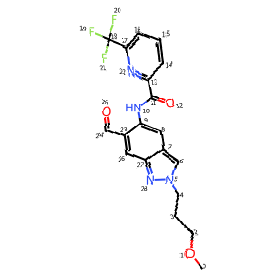 COCCCn1cc2cc(NC(=O)c3cccc(C(F)(F)F)n3)c(C=O)cc2n1